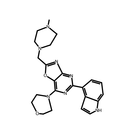 CN1CCN(Cc2nc3nc(-c4cccc5[nH]ccc45)nc(N4CCOCC4)c3o2)CC1